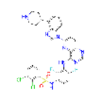 O=S(=O)(Nc1ccc(F)c(Nc2ncnc3ccc(-n4cnc5c(C6CCNCC6)cccc54)nc23)c1F)c1cccc(Cl)c1Cl